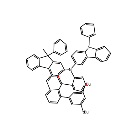 CC(C)(C)c1cc(-c2cccc3cccc(-c4ccccc4N(c4ccc5c(c4)C(C)(c4ccccc4)c4ccccc4-5)c4ccc5c(c4)c4ccccc4n5-c4ccccc4)c23)cc(C(C)(C)C)c1